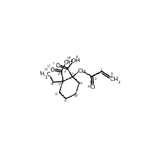 C=CC(=O)OC1(C(=O)O)CCCCC1(CC)C(=O)O